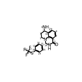 N[C@@H]1CCN2c3c(cccc31)C(=O)N[C@@H]2c1ccc(SC(F)(F)F)cc1